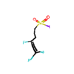 O=S(=O)(I)CCC(F)=C(F)F